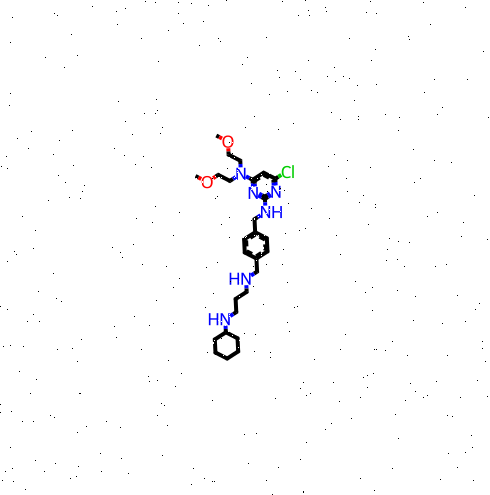 COCCN(CCOC)c1cc(Cl)nc(NCc2ccc(CNCCCNC3CCCCC3)cc2)n1